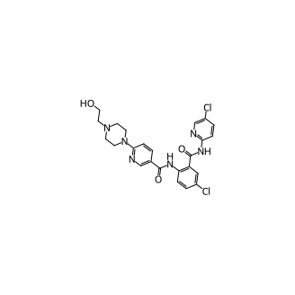 O=C(Nc1ccc(Cl)cc1C(=O)Nc1ccc(Cl)cn1)c1ccc(N2CCN(CCO)CC2)nc1